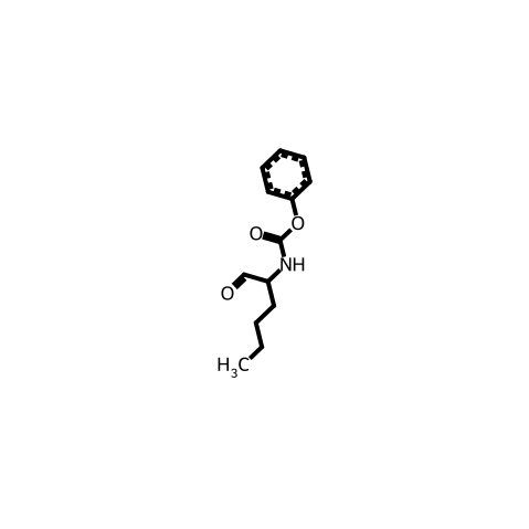 CCCCC(C=O)NC(=O)Oc1ccccc1